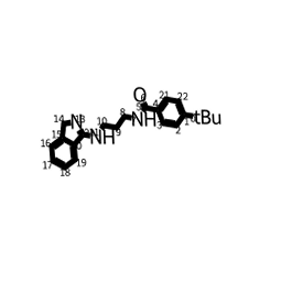 CC(C)(C)c1ccc(C(=O)NCCCNC2=NCc3ccccc32)cc1